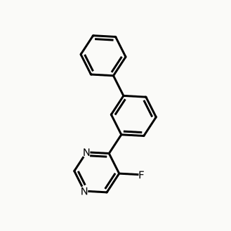 Fc1cncnc1-c1cccc(-c2ccccc2)c1